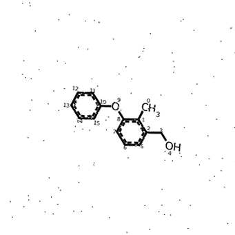 Cc1c(CO)cccc1Oc1ccccc1